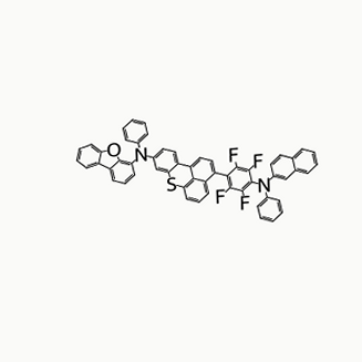 Fc1c(F)c(N(c2ccccc2)c2ccc3ccccc3c2)c(F)c(F)c1-c1ccc2c3c(cccc13)Sc1cc(N(c3ccccc3)c3cccc4c3oc3ccccc34)ccc1-2